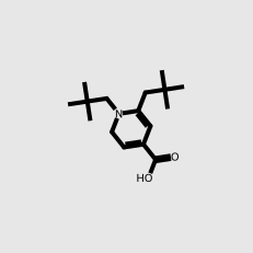 CC(C)(C)CC1=CC(C(=O)O)=CCN1CC(C)(C)C